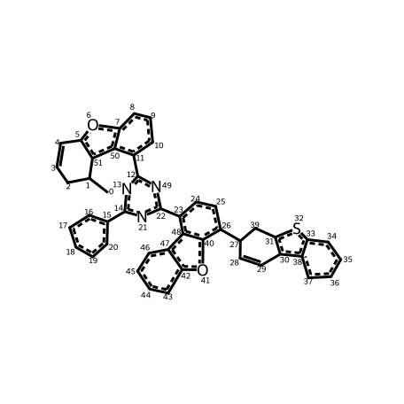 CC1CC=Cc2oc3cccc(-c4nc(-c5ccccc5)nc(-c5ccc(C6C=Cc7c(sc8ccccc78)C6)c6oc7ccccc7c56)n4)c3c21